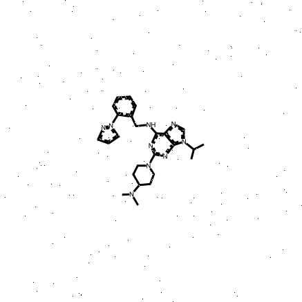 CC(C)n1cnc2c(NCc3ccccc3-n3cccn3)nc(N3CCC(N(C)C)CC3)nc21